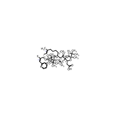 CC[C@@H](C(=O)C(C)(C)[C@H](CC(=O)O)O[Si](C)(C)C(C)(C)C)[C@@H](O[Si](C)(C)C(C)(C)C)[C@@H](C)CCC/C(C)=C/C[C@H](O[Si](C)(C)C(C)(C)C)/C(F)=C\c1ccccn1